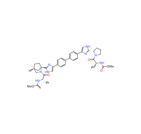 C=C(N[C@H](C(=O)N1C[C@@H]2CC[C@@]1(c1nc(-c3ccc(-c4ccc(-c5c[nH]c([C@@H]6CCCN6C(=O)[C@@H](NC(=O)OC)C(C)C)n5)cc4)cc3)c[nH]1)C2)C(C)C)OC